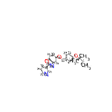 [CH2]CC(C)(C)Oc1ccc(COc2ccc3oc(-c4cccnc4)nc3c2)cc1